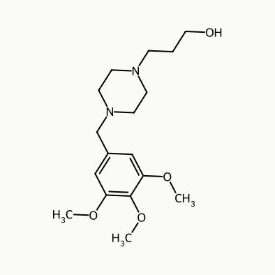 COc1cc(CN2CCN(CCCO)CC2)cc(OC)c1OC